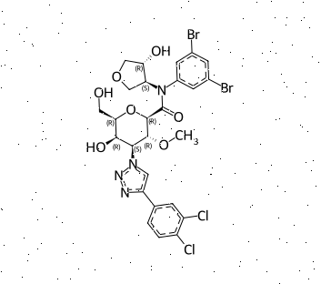 CO[C@@H]1[C@@H](n2cc(-c3ccc(Cl)c(Cl)c3)nn2)[C@@H](O)[C@@H](CO)O[C@H]1C(=O)N(c1cc(Br)cc(Br)c1)[C@H]1COC[C@@H]1O